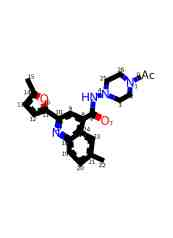 CC(=O)N1CCN(NC(=O)c2cc(-c3ccc(C)o3)nc3ccc(C)cc23)CC1